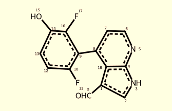 O=Cc1c[nH]c2nccc(-c3c(F)ccc(O)c3F)c12